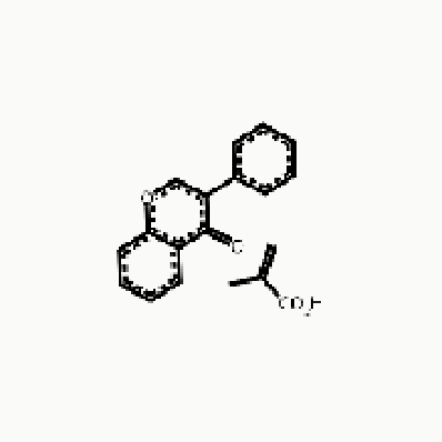 C=C(C)C(=O)O.O=c1c(-c2ccccc2)coc2ccccc12